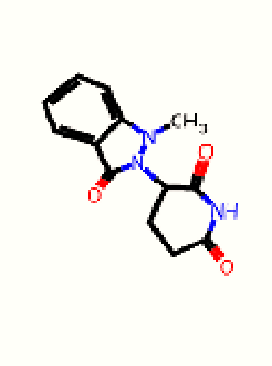 Cn1c2ccccc2c(=O)n1C1CCC(=O)NC1=O